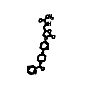 CC(=O)NCC1CN(c2ccc(N3CCN(C(=O)c4cnccn4)CC3)nc2)C(=O)O1